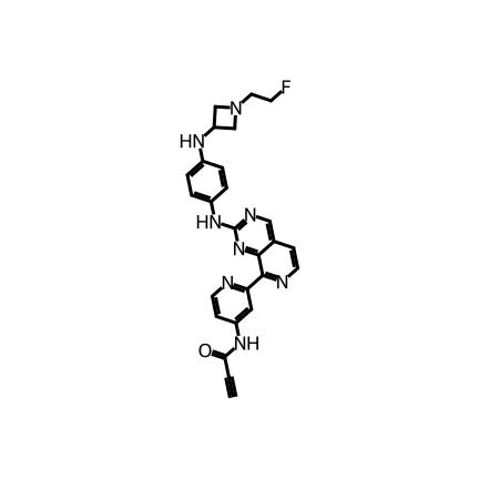 C#CC(=O)Nc1ccnc(-c2nccc3cnc(Nc4ccc(NC5CN(CCF)C5)cc4)nc23)c1